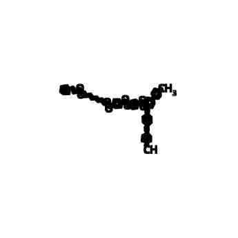 C#Cc1ccc(C#Cc2ccc(C#CC3(OC(=O)c4ccc(OC(=O)C5CCC(C(=O)OCCCCCCCCOC(=O)/C=C/c6ccccc6)CC5)cc4)CCC(C4CCC(C)CC4)CC3)cc2)cc1